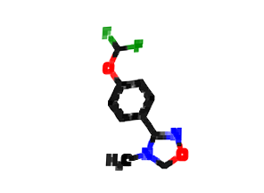 CN1CON=C1c1ccc(OC(F)F)cc1